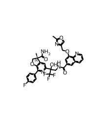 Cc1nc(COc2cc(C(=O)NCC(O)(c3cc4c(c(-c5ccc(F)cc5)n3)OC[C@]4(C)C(N)=O)C(F)(F)F)cc3cccnc23)co1